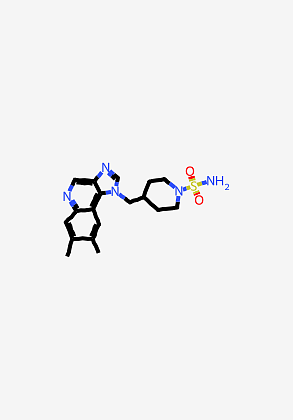 Cc1cc2ncc3ncn(CC4CCN(S(N)(=O)=O)CC4)c3c2cc1C